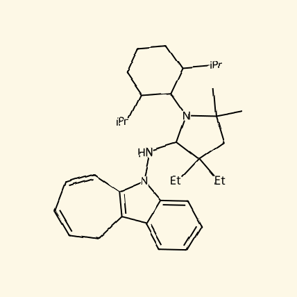 CCC1(CC)CC(C)(C)N(C2C(C(C)C)CCCC2C(C)C)C1Nn1c2c(c3ccccc31)CC=CC=C2